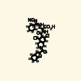 N#C/N=C(/NC[C@H](NC(=O)c1c(Cl)cc2c(c1Cl)CCN(C(=O)c1cc3ccccc3o1)C2)C(=O)O)N1CCCCC1